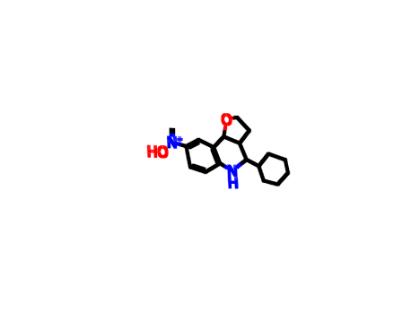 C=[N+](O)c1ccc2c(c1)C1OCCC1C(C1CCCCC1)N2